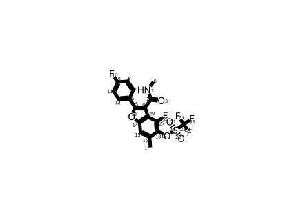 CNC(=O)c1c(-c2ccc(F)cc2)oc2cc(C)c(OS(=O)(=O)C(F)(F)F)c(F)c12